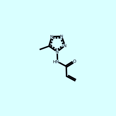 C=CC(=O)Nn1nnnc1C